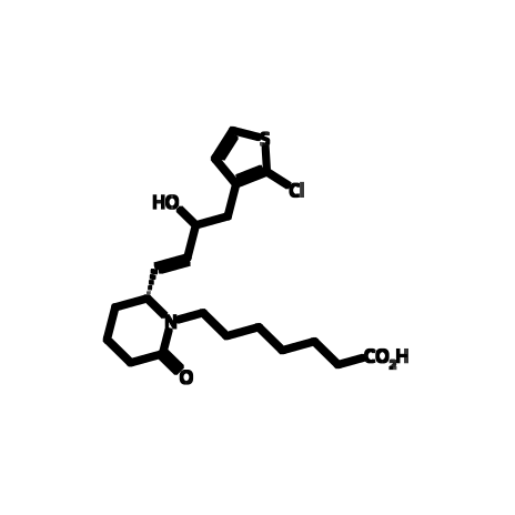 O=C(O)CCCCCCN1C(=O)CCC[C@@H]1/C=C/C(O)Cc1ccsc1Cl